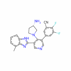 Cc1cccc2[nH]c(-c3cncc(-c4cc(F)c(F)c(C#N)c4)c3N3CC[C@H](N)C3)nc12